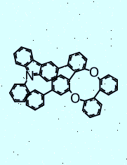 c1ccc(-c2ccc3c(c2)Oc2ccccc2-c2ccccc2Oc2cccc(-c4ccc5c(c4)c4ccccc4n5-c4ccccc4)c2-3)cc1